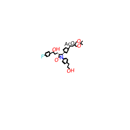 CC(=O)OC1(CCc2ccc([C@@H]3[C@@H](CCC(O)c4ccc(F)cc4)C(=O)N3c3ccc(CCCO)cc3)cc2)COC(C)(C)OC1